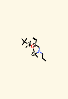 C=C[SiH](CN(CCC)[Si](C)(C)C)O[Si](C)(C)C(C)(C)C